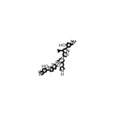 CC1CN(c2cnc3nc(-c4cc5cn(C)nc5cc4O)cc(C4CC4)c3c2)CC(CC2CNCC2Oc2cnc3nc(-c4cc5cn(C)nc5cc4O)ccc3c2)N1